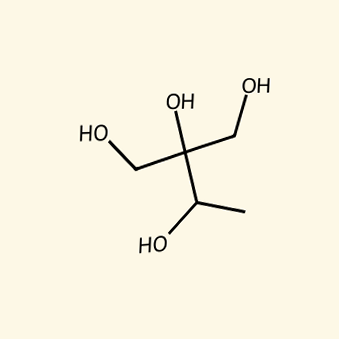 CC(O)C(O)(CO)CO